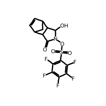 O=C1C2C3C=CC(C3)C2C(O)N1OS(=O)(=O)c1c(F)c(F)c(F)c(F)c1F